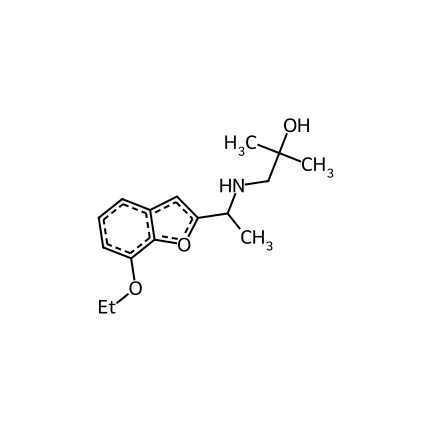 CCOc1cccc2cc(C(C)NCC(C)(C)O)oc12